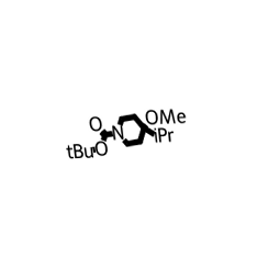 COC1(C(C)C)CCN(C(=O)OC(C)(C)C)CC1